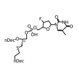 CCCCCCCCCCCCSC[C@H](COP(=O)(O)OCC1OC(n2cc(C)c(=O)[nH]c2=O)CC1F)OCCCCCCCCCC